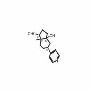 C[C@]12CC[C@H](c3ccncc3)C[C@@]1(O)CC[C@@H]2C=O